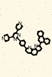 c1ccc2c(c1)cc(-c1ccc3ccc4ccc(-c5ccc(-c6nc(-c7ccncc7)cc(-c7ccncc7)n6)cc5)nc4c3n1)c1ccccc12